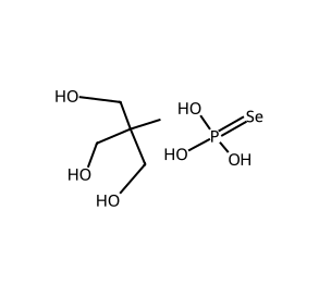 CC(CO)(CO)CO.OP(O)(O)=[Se]